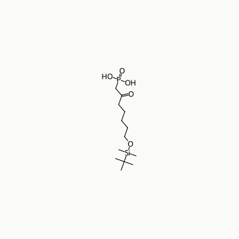 CC(C)(C)[Si](C)(C)OCCCCCC(=O)CP(=O)(O)O